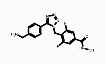 NCc1ccc(-c2nnnn2Cc2c(F)cc(C(=O)NO)cc2F)cc1